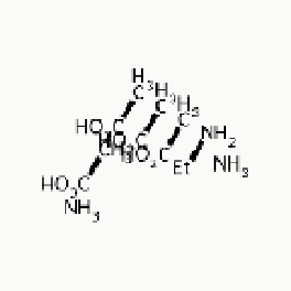 CC(=O)O.CC(=O)O.CC(=O)O.CC(=O)O.CCN.N.N